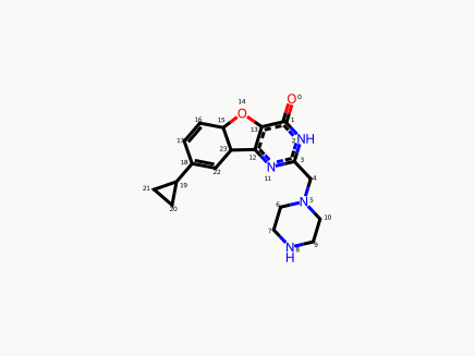 O=c1[nH]c(CN2CCNCC2)nc2c1OC1C=CC(C3CC3)=CC21